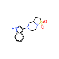 O=S1(=O)CCC2CN(c3c[nH]c4ccccc34)CCN21